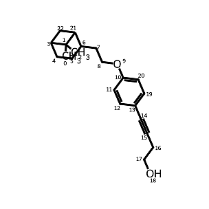 CC1(C)C2CCC(CCOc3ccc(C#CCCO)cc3)C1C2